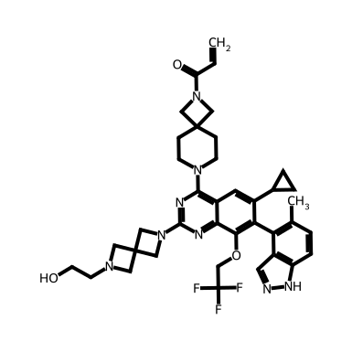 C=CC(=O)N1CC2(CCN(c3nc(N4CC5(CN(CCO)C5)C4)nc4c(OCC(F)(F)F)c(-c5c(C)ccc6[nH]ncc56)c(C5CC5)cc34)CC2)C1